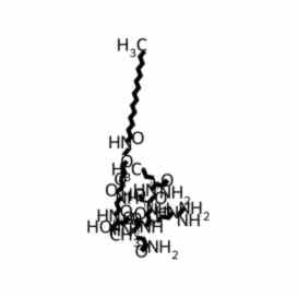 CCCCCCCCCCCCCCCC(=O)NCCOCCOCC(=O)NCC(=O)N[C@H](C(=O)N[C@@H](CCC(N)=O)C(=O)N[C@@H](CCCNC(=N)N)C(=O)N[C@@H](CO)C(=O)N[C@@H](CCCC)C(N)=O)[C@@H](C)O